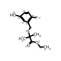 CCOC(=O)C(C)(C)SCc1cc(O)ccc1F